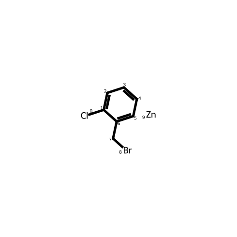 Clc1ccccc1CBr.[Zn]